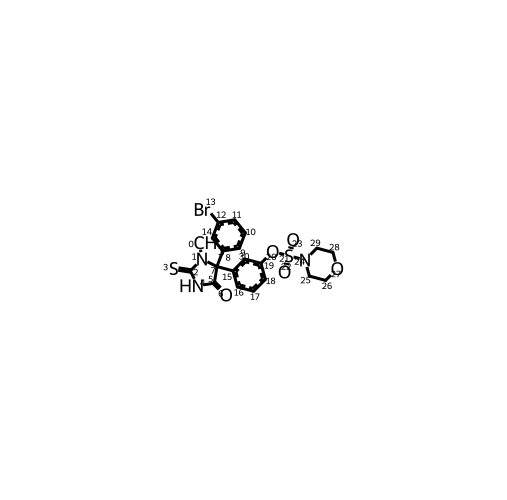 CN1C(=S)NC(=O)C1(c1cccc(Br)c1)c1cccc(OS(=O)(=O)N2CCOCC2)c1